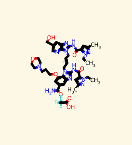 CCn1nc(C)cc1C(=O)Nc1nc2cc(CO)cnc2n1C/C=C/Cn1c(NC(=O)c2cc(C)nn2CC)nc2cc(C(N)=O)cc(OCCCN3CCOCC3)c21.O=C(O)C(F)(F)F